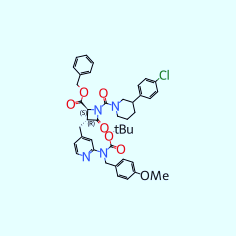 COc1ccc(CN(C(=O)OC(C)(C)C)c2cc(C[C@H]3C(=O)N(C(=O)N4CCCC(c5ccc(Cl)cc5)C4)[C@@H]3C(=O)OCc3ccccc3)ccn2)cc1